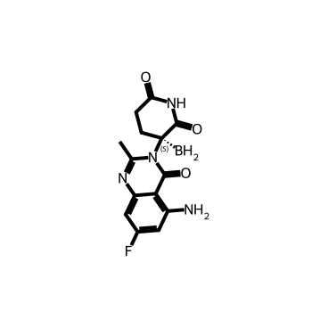 B[C@]1(n2c(C)nc3cc(F)cc(N)c3c2=O)CCC(=O)NC1=O